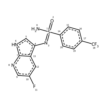 NS(=O)(=Nc1c[nH]c2ncc(F)cc12)c1ccc(C(F)(F)F)cc1